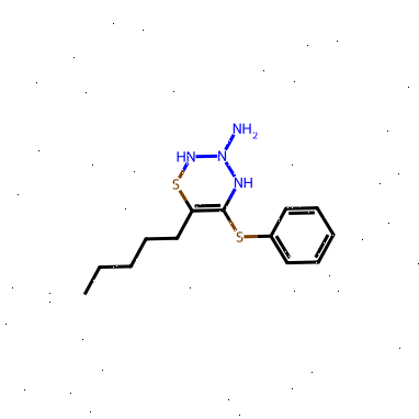 CCCCCc1s[nH]n(N)[nH]c1Sc1ccccc1